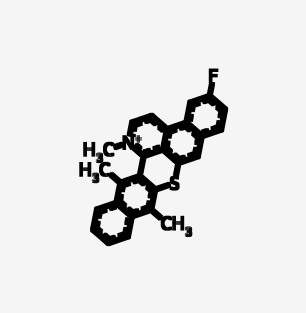 Cc1c2c(c(C)c3ccccc13)-c1c3c(cc4ccc(F)cc4c3cc[n+]1C)S2